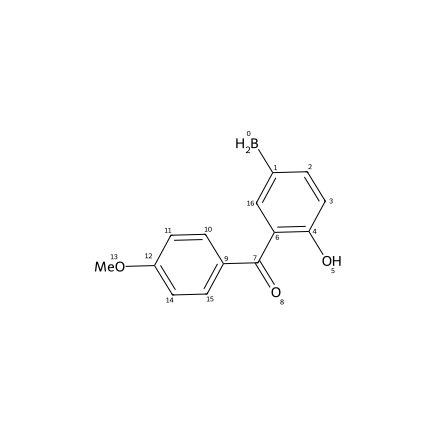 Bc1ccc(O)c(C(=O)c2ccc(OC)cc2)c1